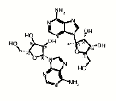 C[C@@]1(n2cnc3c(N)ncnc32)O[C@H](CO)[C@@H](O)[C@H]1O.Nc1ncnc2c1ncn2[C@@H]1O[C@H](CO)[C@@H](O)[C@H]1O